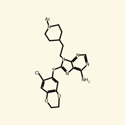 CC(=O)N1CCC(CCn2c(Sc3cc4c(cc3Cl)OCCO4)nc3c(N)ncnc32)CC1